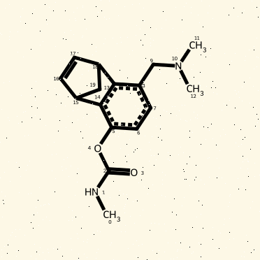 CNC(=O)Oc1ccc(CN(C)C)c2c1C1C=CC2C1